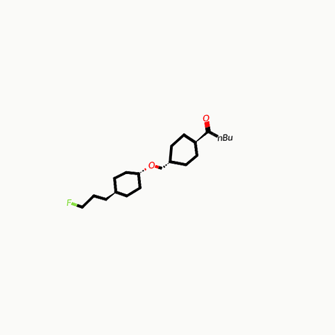 CCCCC(=O)[C@H]1CC[C@H](CO[C@H]2CC[C@H](CCCF)CC2)CC1